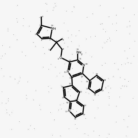 Cc1ccc(C(C)(C)COc2nc(-c3ccc4ncccc4c3)c(-c3ccccc3)nc2N)[nH]1